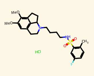 COc1cc2c3c(c1OC)CCC3N(CCCCNS(=O)(=O)c1cc(F)ccc1C)CC2.Cl